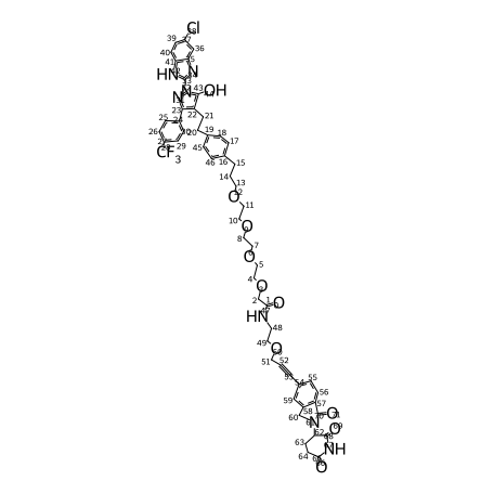 O=C(COCCOCCOCCOCCCc1ccc(CCc2c(-c3ccc(C(F)(F)F)cc3)nn(-c3nc4cc(Cl)ccc4[nH]3)c2O)cc1)NCCOCC#Cc1ccc2c(c1)CN(C1CCC(=O)NC1=O)C2=O